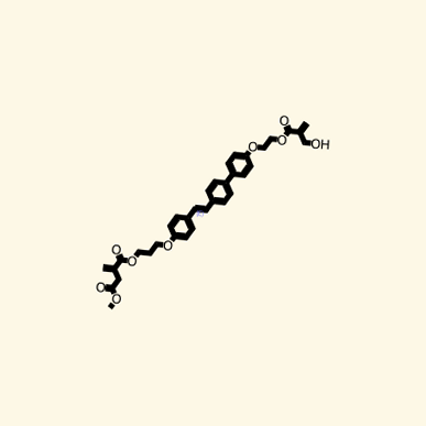 C=C(CO)C(=O)OCCOc1ccc(-c2ccc(/C=C/c3ccc(OCCCOC(=O)C(=C)CC(=O)OC)cc3)cc2)cc1